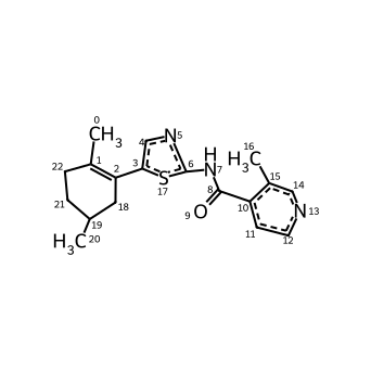 CC1=C(c2cnc(NC(=O)c3ccncc3C)s2)CC(C)CC1